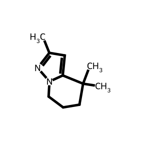 Cc1cc2n(n1)CCCC2(C)C